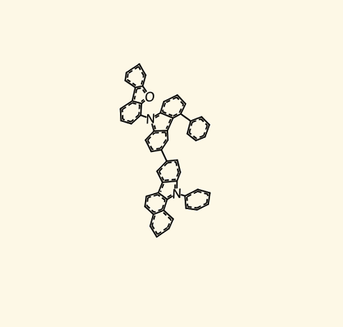 c1ccc(-c2cccc3c2c2cc(-c4ccc5c(c4)c4ccc6ccccc6c4n5-c4ccccc4)ccc2n3-c2cccc3c2oc2ccccc23)cc1